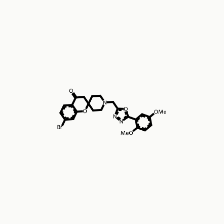 COc1ccc(OC)c(-c2nnc(CN3CCC4(CC3)CC(=O)c3ccc(Br)cc3O4)o2)c1